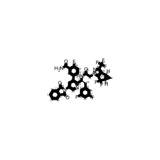 NC(=O)c1cc(-c2cc(N3C(=O)c4ccccc4C3=O)cnc2[C@H](Cc2cc(F)cc(F)c2)NC(=O)Cn2nc(C(F)(F)F)c3c2C(F)(F)[C@@H]2C[C@H]32)ccc1F